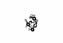 N#Cc1ccc(COc2c(F)cccc2C2CCN(Cc3nc4ccc(C(=O)O)cc4n3C[C@@H]3CCO3)CC2)c(F)c1